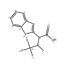 CC(C(C(=O)O)c1cc2ccccc2s1)C(F)(F)F